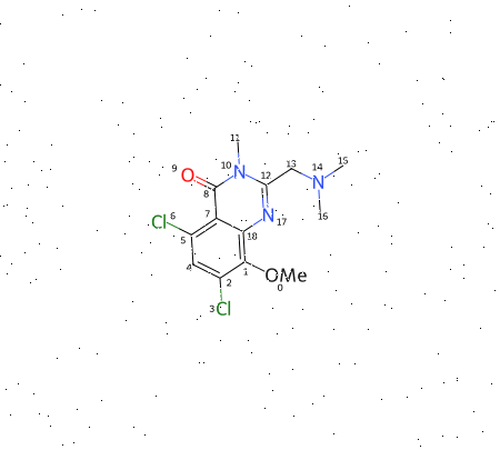 COc1c(Cl)cc(Cl)c2c(=O)n(C)c(CN(C)C)nc12